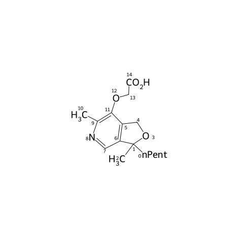 CCCCCC1(C)OCc2c1cnc(C)c2OCC(=O)O